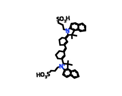 CC1(C)C(C2=C/C(=C/C3=CC(=C4/N(CCCS(=O)(=O)O)c5ccc6ccccc6c5C4(C)C)/CCC3)CCC2)=[N+](CCCS(=O)(=O)O)c2ccc3ccccc3c21